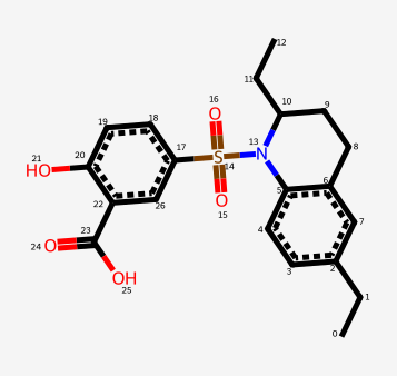 CCc1ccc2c(c1)CCC(CC)N2S(=O)(=O)c1ccc(O)c(C(=O)O)c1